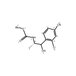 C[C@H](NC(=O)OC(C)(C)C)C(O)c1ccc(C#N)cc1Cl